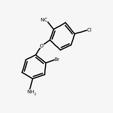 N#Cc1cc(Cl)ccc1Oc1ccc(N)cc1Br